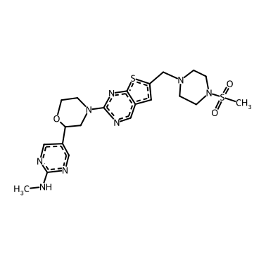 CNc1ncc(C2CN(c3ncc4cc(CN5CCN(S(C)(=O)=O)CC5)sc4n3)CCO2)cn1